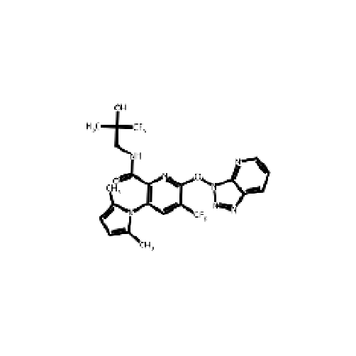 Cc1ccc(C)n1-c1cc(C(F)(F)F)c(On2nnc3cccnc32)nc1C(=O)NCC(C)(O)C(F)(F)F